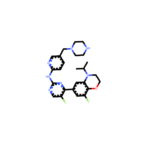 CC(C)N1CCOc2c(F)cc(-c3nc(Nc4ccc(CN5CCNCC5)cn4)ncc3F)cc21